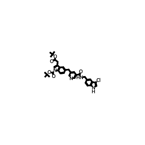 CC(C)(C)OC(=O)Cc1cn(C(=O)OC(C)(C)C)c2ccc(Cc3cncc(C(=O)NCc4ccc5[nH]cc(Cl)c5c4)c3)cc12